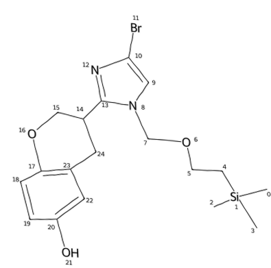 C[Si](C)(C)CCOCn1cc(Br)nc1C1COc2ccc(O)cc2C1